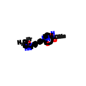 COC(=O)N[C@H]1CCCCOCc2[nH]c(nc2-c2ccc(-c3ccc(-c4c[nH]c([C@@H]5CCCN5C(=O)[C@@H](C)C(C)C)n4)cc3)cc2)[C@@H]2CCCN2C1=O